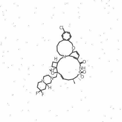 CO[C@@]1(CN2CCN3CCC(F)(F)C[C@H]3C2)/C=C/C[C@H](C)[C@@H](C)S(=O)(=O)NC(=O)C2=CC3C(C=C2)OCc2ccc(Cl)cc2CCCCN3C[C@@H]2CC[C@H]21